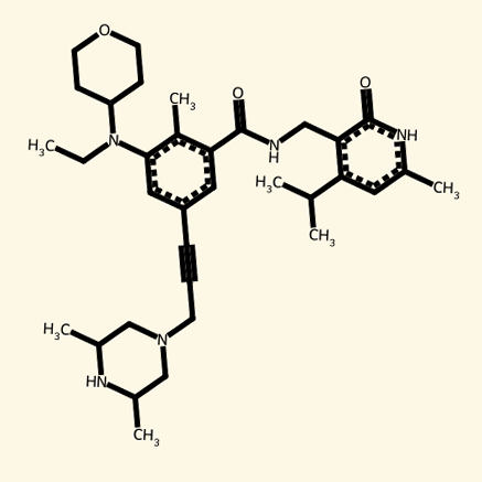 CCN(c1cc(C#CCN2CC(C)NC(C)C2)cc(C(=O)NCc2c(C(C)C)cc(C)[nH]c2=O)c1C)C1CCOCC1